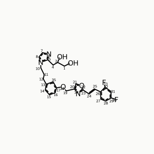 OCC(O)Cc1nccn1CCCc1cccc(OCc2coc(/C=C/c3ccc(F)cc3F)n2)c1